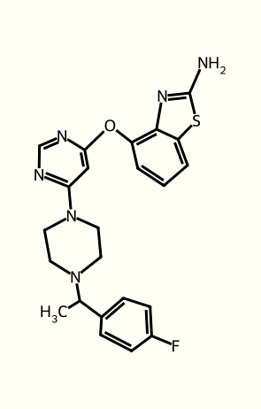 CC(c1ccc(F)cc1)N1CCN(c2cc(Oc3cccc4sc(N)nc34)ncn2)CC1